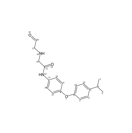 CC(C)c1ccc(Oc2ccc(NC(=O)CNCC=O)cc2)cc1